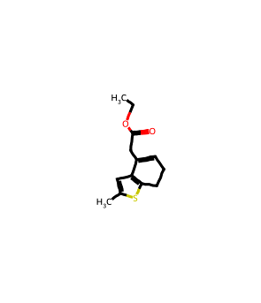 CCOC(=O)CC1=CCCc2sc(C)cc21